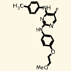 COCCOc1ccc(Nc2ncc(F)c(Nc3ccc(C)cc3)n2)cc1